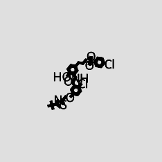 CC(C)(C)c1csc(COc2ccc(Cl)c(C(=O)Nc3cc(CCCS(=O)(=O)c4ccc(Cl)cc4)ccc3O)c2)n1